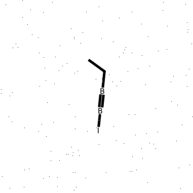 CCB=BI